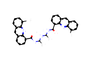 CCC(NC(=O)c1cccc2cc3cccc(C(F)(F)F)c3nc12)N(C)C(CC)NC(=O)c1cccc2cc3cccc(C(F)(F)F)c3nc12